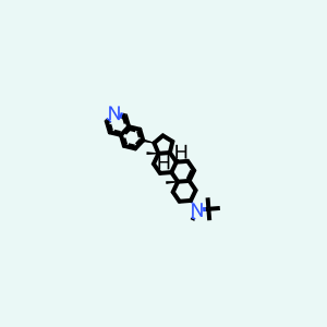 CN([C@H]1CC[C@@]2(C)C(=CC[C@@H]3C2CC[C@]2(C)[C@@H](c4ccc5ccncc5c4)CC[C@@H]32)C1)C(C)(C)C